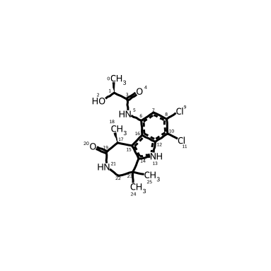 C[C@H](O)C(=O)Nc1cc(Cl)c(Cl)c2[nH]c3c(c12)[C@H](C)C(=O)NCC3(C)C